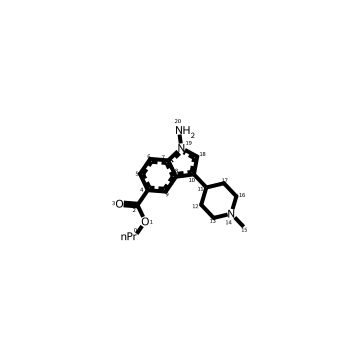 CCCOC(=O)c1ccc2c(c1)c(C1CCN(C)CC1)cn2N